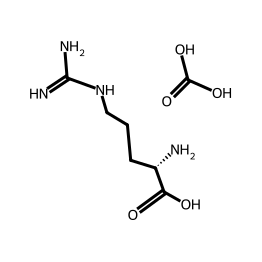 N=C(N)NCCC[C@H](N)C(=O)O.O=C(O)O